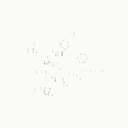 CCC(C)C(NC(=O)C(Cc1ccc(O)cc1)NC(=O)C(CN)CC(C)C)C(=O)NC(Cc1c[nH]cn1)C(=O)N1CCCC1C(=O)NC(Cc1ccccc1)C(=O)O